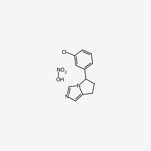 Clc1cccc(C2CCc3cncn32)c1.O=[N+]([O-])O